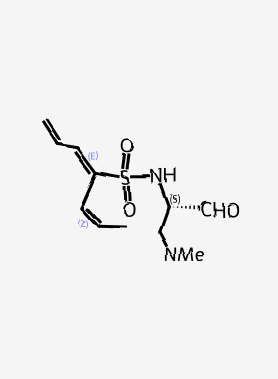 C=C/C=C(\C=C/C)S(=O)(=O)N[C@H](C=O)CNC